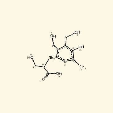 Cc1ncc(CO)c(CO)c1O.NC(CO)C(=O)O